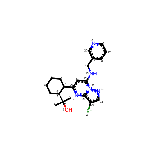 CC(C)(O)[C@H]1CCCCC1c1cc(NCc2cccnc2)n2ncc(Br)c2n1